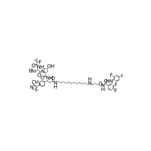 Cc1ncsc1-c1ccc([C@H](CC(=O)NCCCCCCCCCCCCNCCCONC(=O)c2ccc(F)c(F)c2Nc2ccc(I)cc2F)NC(=O)[C@@H]2C[C@@H](O)CN2C(=O)C(NC(=O)C2(F)CC2)C(C)(C)C)cc1